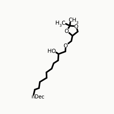 CCCCCCCCCCCCCCCCCCC(O)COCC1COC(C)(C)O1